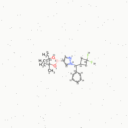 CC1(C)OB(c2cnn(C(c3ccccc3)C3CC(F)(F)C3)c2)OC1(C)C